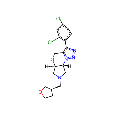 Clc1ccc(-c2nnn3c2CO[C@@H]2CN(C[C@H]4CCOC4)C[C@H]23)c(Cl)c1